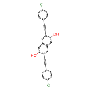 Oc1cc2cc(C#Cc3ccc(Cl)cc3)c(O)cc2cc1C#Cc1ccc(Cl)cc1